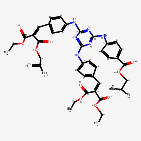 C=C(C)COC(=O)/C(=C\c1ccc(Nc2nc(Nc3ccc(C=C(C(=O)OCC(C)(C)C)C(=O)OCC(C)(C)C)cc3)nc(Nc3ccc(C(=O)OCC(CC)CCCC)cc3)n2)cc1)C(=O)OCC(C)(C)C